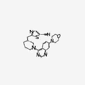 N#Cc1cnc(CC2CCCN(c3ncnc4cc(N5CCOCC5)ccc34)C2)s1